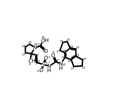 CC1(C=CS(=O)(=O)NC(=O)Nc2c3c(cc4c2CCC4)CCC3)CCCN1C(=O)O